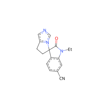 CCN1C(=O)C2(CCc3cncn32)c2ccc(C#N)cc21